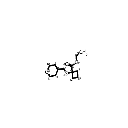 CCOC(=O)C1(SCC2CCOCC2)CCC1